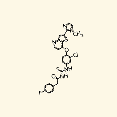 Cn1ccnc1-c1cc2nccc(Oc3ccc(NC(=S)NC(=O)Cc4ccc(F)cc4)cc3Cl)c2s1